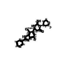 C[C@@H]1C[C@H](N2C(=N)N[C@](C)(c3cc(F)c4nc(-c5cccnc5)[nH]c4c3Cl)CC2=O)CCO1